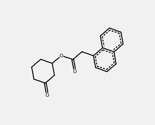 O=C1CCCC(OC(=O)Cc2cccc3ccccc23)C1